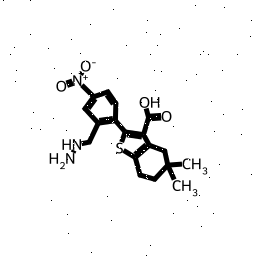 CC1(C)CCc2sc(-c3ccc([N+](=O)[O-])cc3CNN)c(C(=O)O)c2C1